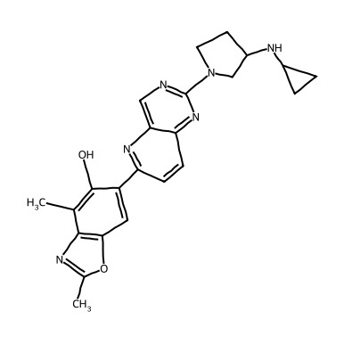 Cc1nc2c(C)c(O)c(-c3ccc4nc(N5CCC(NC6CC6)C5)ncc4n3)cc2o1